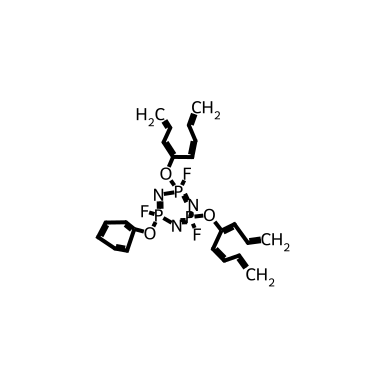 C=C/C=C\C(=C/C=C)OP1(F)=NP(F)(OC(/C=C\C=C)=C/C=C)=NP(F)(Oc2ccccc2)=N1